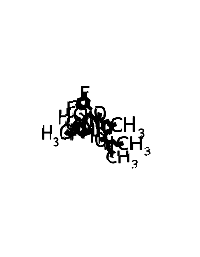 CCCN(CCC)C(=O)c1cc(C)cc(C(=O)N[C@@H](Cc2cc(F)cc(F)c2)[C@H](O)[C@@H]2NCCN(CC)C2=O)c1